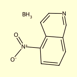 B.O=[N+]([O-])c1cccc2cnccc12